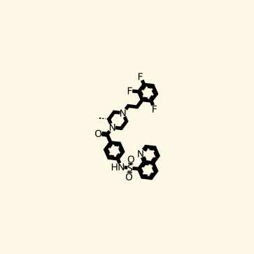 C[C@@H]1CN(CCc2c(F)ccc(F)c2F)CCN1C(=O)c1ccc(NS(=O)(=O)c2cccc3cccnc23)cc1